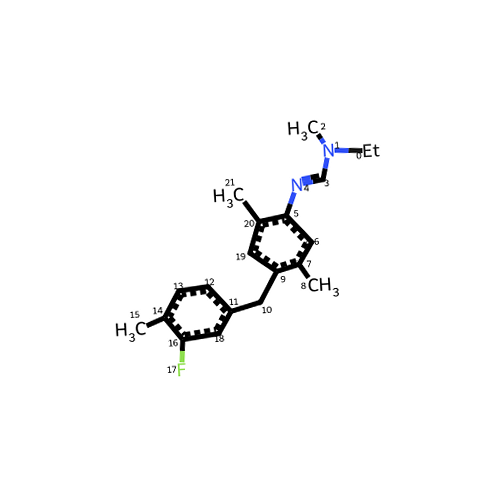 CCN(C)C=Nc1cc(C)c(Cc2ccc(C)c(F)c2)cc1C